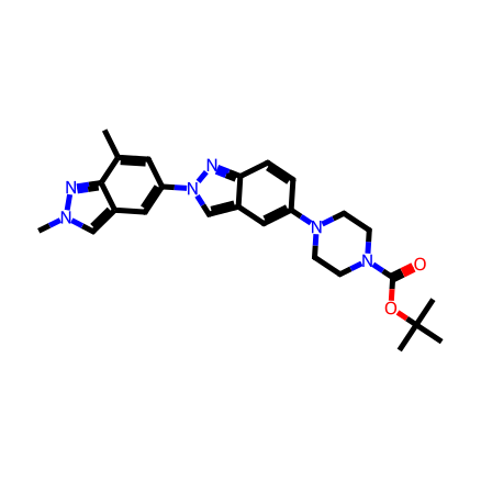 Cc1cc(-n2cc3cc(N4CCN(C(=O)OC(C)(C)C)CC4)ccc3n2)cc2cn(C)nc12